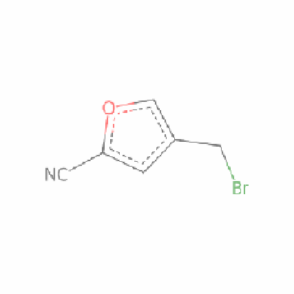 N#Cc1cc(CBr)co1